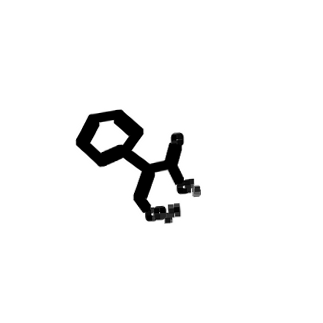 O=C(O)/C=C(\C(=O)C(F)(F)F)c1ccccc1